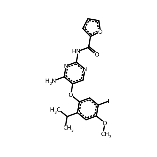 COc1cc(C(C)C)c(Oc2cnc(NC(=O)c3ccco3)nc2N)cc1I